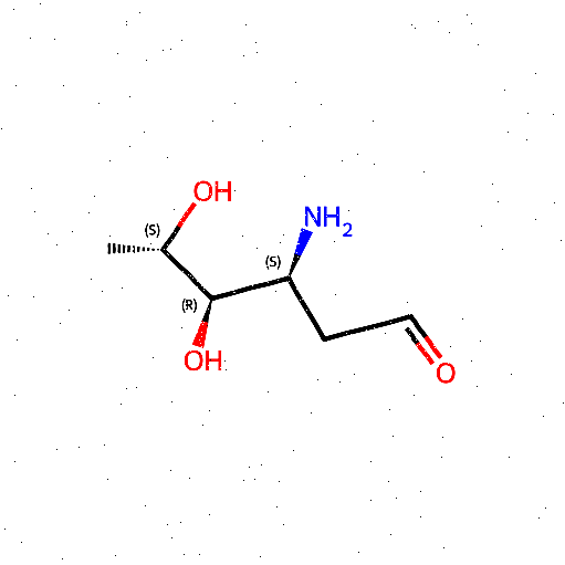 C[C@H](O)[C@H](O)[C@@H](N)CC=O